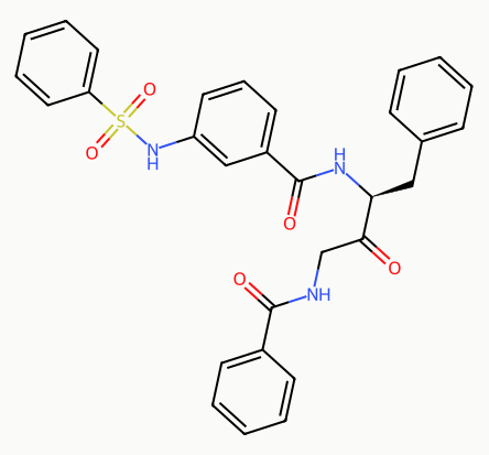 O=C(NCC(=O)[C@H](Cc1ccccc1)NC(=O)c1cccc(NS(=O)(=O)c2ccccc2)c1)c1ccccc1